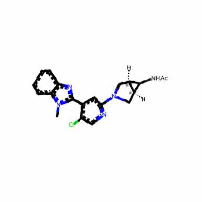 CC(=O)NC1[C@H]2CN(c3cc(-c4nc5ccccc5n4C)c(Cl)cn3)C[C@@H]12